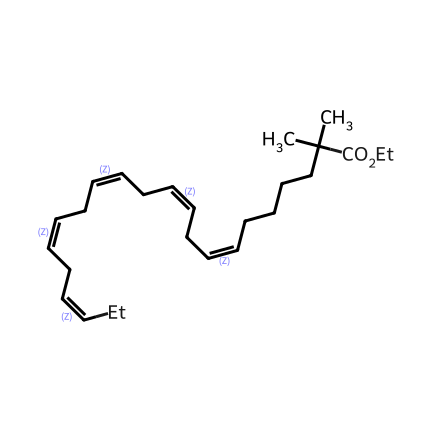 CC/C=C\C/C=C\C/C=C\C/C=C\C/C=C\CCCCC(C)(C)C(=O)OCC